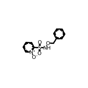 O=S(=O)(NOCc1ccccc1)c1cccc[n+]1[O-]